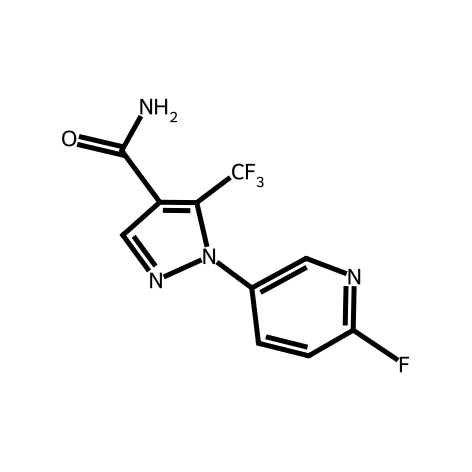 NC(=O)c1cnn(-c2ccc(F)nc2)c1C(F)(F)F